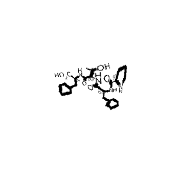 C[C@@H](O)[C@H](NC(=O)[C@H](Cc1ccccc1)NC(=O)[C@@H]1CCCN1)C(=O)N[C@@H](Cc1ccccc1)C(=O)O